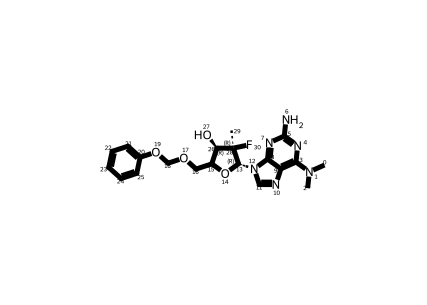 CN(C)c1nc(N)nc2c1ncn2[C@@H]1OC(COCOc2ccccc2)[C@@H](O)[C@@]1(C)F